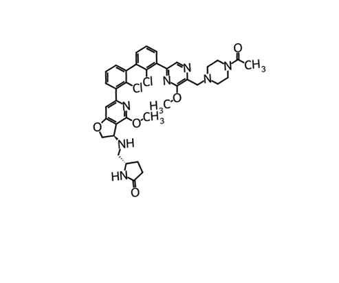 COc1nc(-c2cccc(-c3cccc(-c4cc5c(c(OC)n4)[C@@H](NC[C@@H]4CCC(=O)N4)CO5)c3Cl)c2Cl)cnc1CN1CCN(C(C)=O)CC1